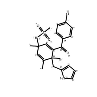 CC1=CC(C)(NS(C)(=O)=O)C=C(C(=O)c2ccc(Cl)cc2)C1(C)Cc1ccc[nH]1